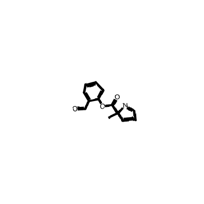 CC1(C(=O)Oc2ccccc2C=O)C=CC=N1